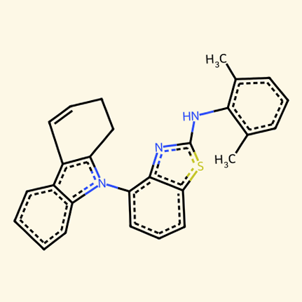 Cc1cccc(C)c1Nc1nc2c(-n3c4c(c5ccccc53)C=CCC4)cccc2s1